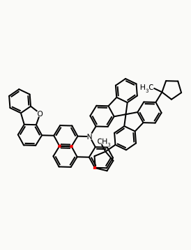 CC1(c2ccc3c(c2)C2(c4ccccc4-c4ccc(N(c5ccc(-c6cccc7c6oc6ccccc67)cc5)c5ccccc5-c5ccccc5)cc42)c2cc(C4(C)CCCC4)ccc2-3)CCCC1